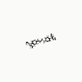 CCN(CC)c1ccc(SC=CSc2ccc(N(CC)CC)cc2)cc1